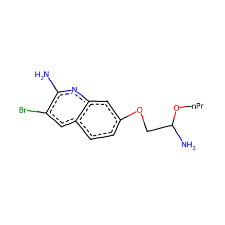 CCCOC(N)COc1ccc2cc(Br)c(N)nc2c1